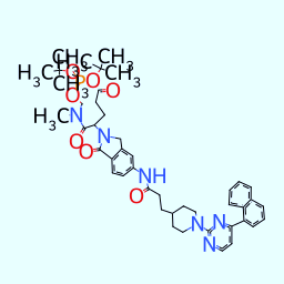 CN(COP(OC(C)(C)C)OC(C)(C)C)C(=O)C(CCC=O)N1Cc2cc(NC(=O)CCC3CCN(c4nccc(-c5cccc6ccccc56)n4)CC3)ccc2C1=O